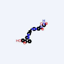 O=C1CCC(N2Cc3cc(N4CCN(CC5CC6(CCN(c7ccc([C@@H]8c9ccc(O)cc9OC[C@@H]8c8ccccc8)cn7)CC6)C5)CC4)ccc3C2=O)C(=O)N1